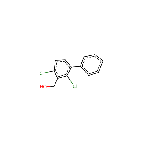 OCc1c(Cl)ccc(-c2ccccc2)c1Cl